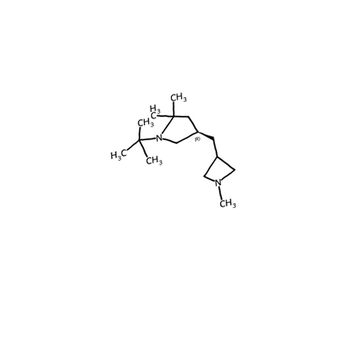 CN1CC(C[C@H]2CN(C(C)(C)C)C(C)(C)C2)C1